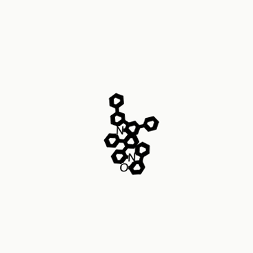 c1ccc(-c2ccc3c(c2)c2cc(-c4ccccc4)ccc2n3-c2ccccc2-c2ccccc2-c2cccc3c2-n2c4ccccc4c4cccc(c42)O3)cc1